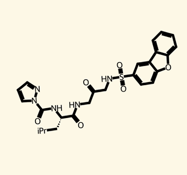 CC(C)C[C@H](NC(=O)n1cccn1)C(=O)NCC(=O)CNS(=O)(=O)c1ccc2oc3ccccc3c2c1